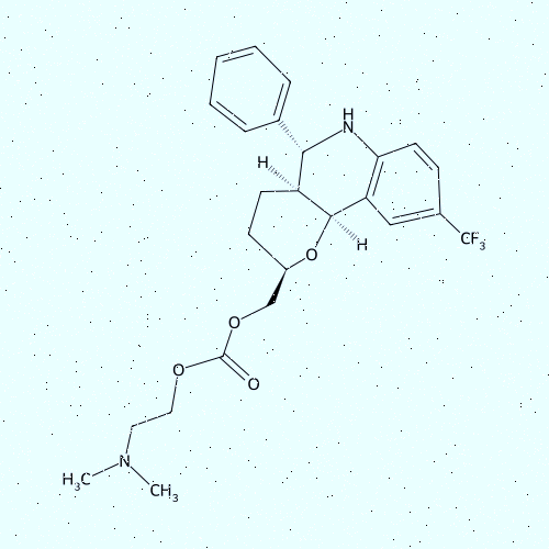 CN(C)CCOC(=O)OC[C@H]1CC[C@@H]2[C@H](O1)c1cc(C(F)(F)F)ccc1N[C@H]2c1ccccc1